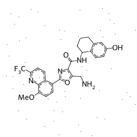 COc1ccc(-c2nc(C(=O)NC3CCCc4cc(O)ccc43)c(CN)o2)c2ccc(C(F)(F)F)nc12